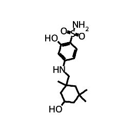 CC1(C)CC(O)CC(C)(CNc2ccc(S(N)(=O)=O)c(O)c2)C1